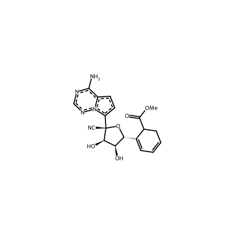 COC(=O)C1CC=CC=C1[C@H]1O[C@@](C#N)(c2ccc3c(N)ncnn23)[C@H](O)[C@@H]1O